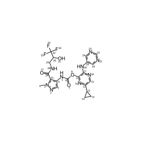 Cn1ncc(NC(=O)Oc2nc(C3CC3)cnc2Nc2cncnc2)c1C(=O)NCC(O)C(F)(F)F